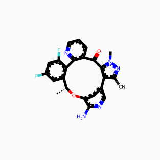 C[C@H]1Oc2cc(cnc2N)-c2c(C#N)nn(C)c2C(=O)c2cccnc2-c2c(F)cc(F)cc21